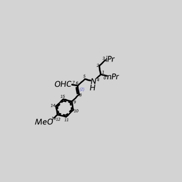 CCCC(CC(C)C)NC/C(C=O)=C/c1ccc(OC)cc1